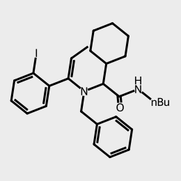 CC=C(c1ccccc1I)N(Cc1ccccc1)C(C(=O)NCCCC)C1CCCCC1